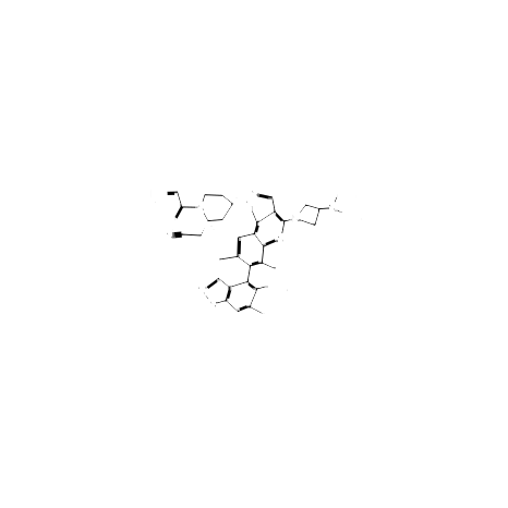 C=CC(=O)N1CC[C@H](n2ncc3c(N4CC(N(C)C)C4)nc4c(F)c(-c5c(C)c(Cl)cc6[nH]ncc56)c(Cl)cc4c32)C[C@H]1CC#N